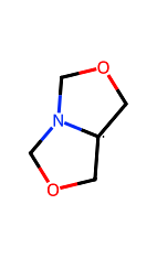 C1OCN2COC[C]12